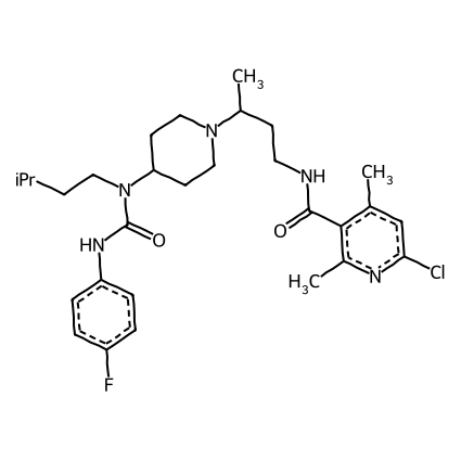 Cc1cc(Cl)nc(C)c1C(=O)NCCC(C)N1CCC(N(CCC(C)C)C(=O)Nc2ccc(F)cc2)CC1